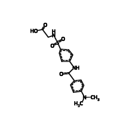 CN(C)c1ccc(C(=O)Nc2ccc(S(=O)(=O)NCC(=O)O)cc2)cc1